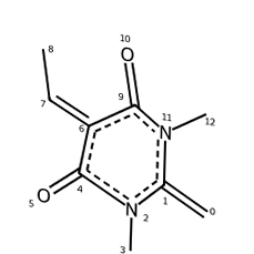 C=c1n(C)c(=O)c(=CC)c(=O)n1C